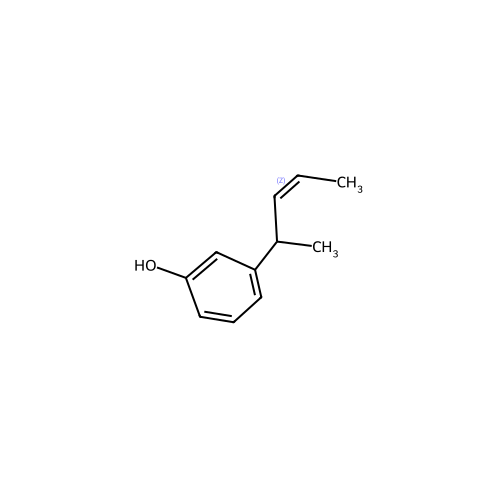 C/C=C\C(C)c1cccc(O)c1